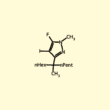 CCCCCCC(C)(CCCCC)c1nn(C)c(F)c1I